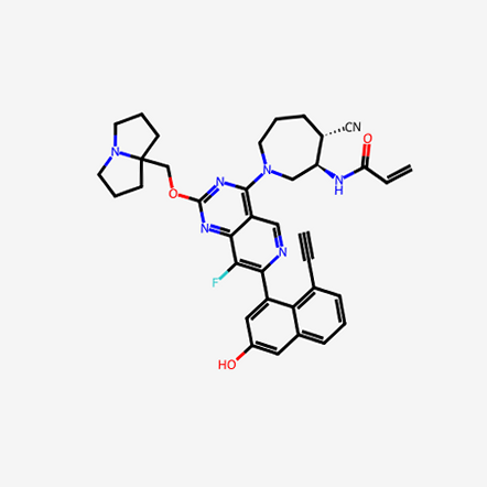 C#Cc1cccc2cc(O)cc(-c3ncc4c(N5CCC[C@H](C#N)[C@@H](NC(=O)C=C)C5)nc(OCC56CCCN5CCC6)nc4c3F)c12